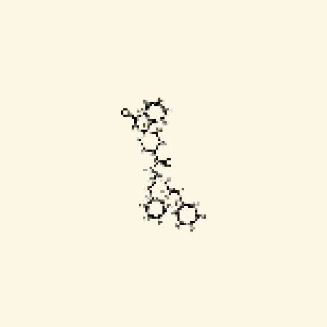 O=C1OC2(CCC(C(=O)N[C@H](CNCc3ccccc3)Cc3ccccc3)CC2)c2ccccc21